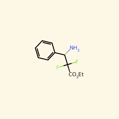 CCOC(=O)C(F)(F)[C@@H](N)c1ccccc1